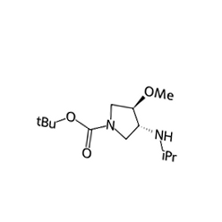 CO[C@@H]1CN(C(=O)OC(C)(C)C)C[C@H]1NC(C)C